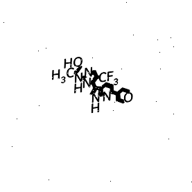 CC(CO)Nc1ncc(C(F)(F)F)c(-c2c[nH]c3nc(C4=CCOCC4)ccc23)n1